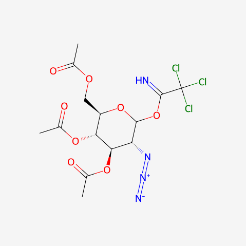 CC(=O)OC[C@H]1OC(OC(=N)C(Cl)(Cl)Cl)[C@H](N=[N+]=[N-])[C@@H](OC(C)=O)[C@@H]1OC(C)=O